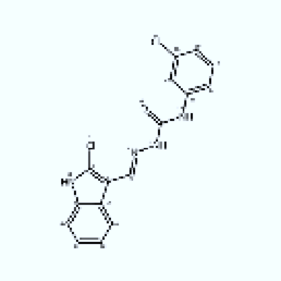 O=C(NN=Cc1c(Cl)[nH]c2ccccc12)Nc1cccc(Cl)c1